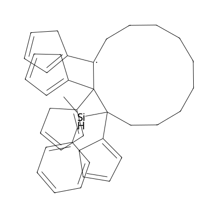 C[SiH](c1ccccc1)C1(C2=CC=CC2)CCCCCCCCC[C](C2=CC=CC2)C1(C1=CC=CC1)C1=CC=CC1